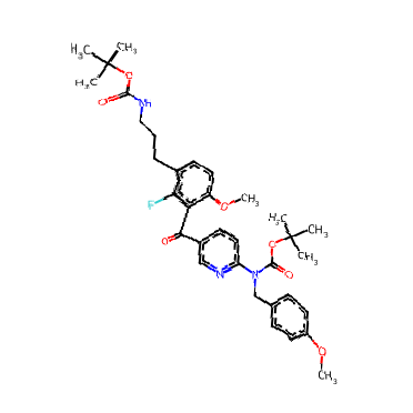 COc1ccc(CN(C(=O)OC(C)(C)C)c2ccc(C(=O)c3c(OC)ccc(CCCNC(=O)OC(C)(C)C)c3F)cn2)cc1